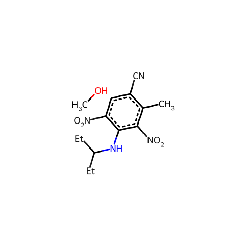 CCC(CC)Nc1c([N+](=O)[O-])cc(C#N)c(C)c1[N+](=O)[O-].CO